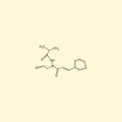 CC(C)C(=O)NN(C[C]=O)C(=O)C=Cc1ccccc1